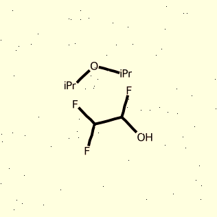 CC(C)OC(C)C.OC(F)C(F)F